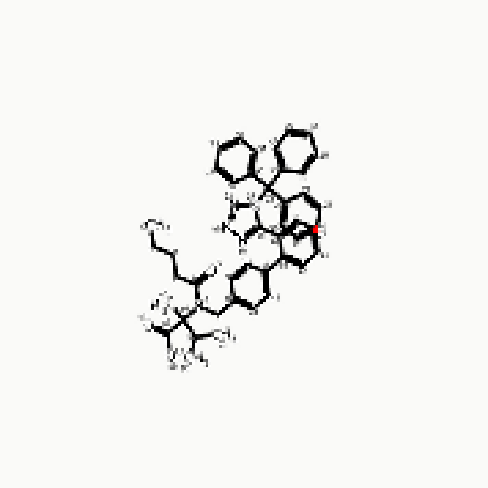 CCCCC(=O)N(Cc1ccc(-c2ccccc2-c2nnnn2C(c2ccccc2)(c2ccccc2)c2ccccc2)cc1)C(C)(C(=O)O)C(C)C